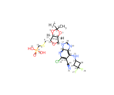 CC1(C)O[C@@H]2[C@H](O1)[C@@H](CSCP(=O)(O)O)O[C@H]2n1cnc2c(NC3CC(F)(F)C3)c(C#N)c(Cl)nc21